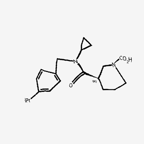 CC(C)c1ccc(CN(C(=O)[C@@H]2CCCN(C(=O)O)C2)C2CC2)cc1